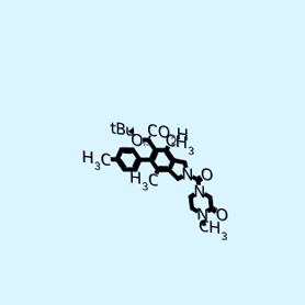 Cc1ccc(-c2c(C)c3c(c(C)c2[C@H](OC(C)(C)C)C(=O)O)CN(C(=O)N2CCN(C)C(=O)C2)C3)cc1